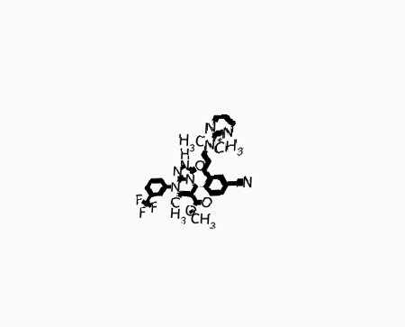 COC(=O)C1=C(C)N(c2cccc(C(F)(F)F)c2)c2n[nH]c(=O)n2[C@@H]1c1ccc(C#N)cc1CCC[N+](C)(C)c1ncccn1